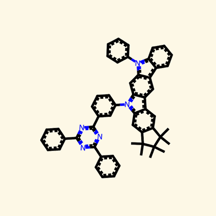 CC1(C)c2cc3c4cc5c6ccccc6n(-c6ccccc6)c5cc4n(-c4cccc(-c5nc(-c6ccccc6)nc(-c6ccccc6)n5)c4)c3cc2C(C)(C)C1(C)C